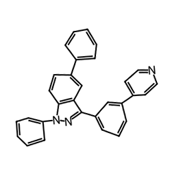 c1ccc(-c2ccc3c(c2)c(-c2cccc(-c4ccncc4)c2)nn3-c2ccccc2)cc1